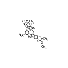 CCOC(=O)C(C)Cc1ccc2[nH]c(-c3cc(C)cc(C)c3)c(CCNC(=O)OC(C)(C)C)c2c1